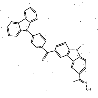 CCn1c2ccc(C(=O)c3ccc(-n4c5ccccc5c5ccccc54)cc3)cc2c2cc(C(C)=NO)ccc21